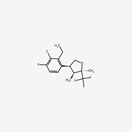 CCc1c([C@H]2CO[C@@](C)(C(F)(F)F)[C@H]2C)ccc(F)c1F